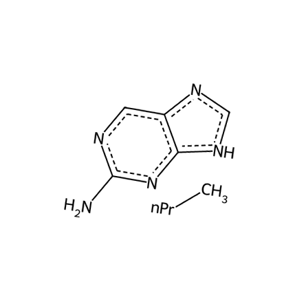 CCCC.Nc1ncc2nc[nH]c2n1